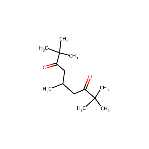 CC(CC(=O)C(C)(C)C)CC(=O)C(C)(C)C